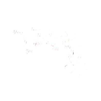 COc1nc(N)nc2c1ncn2[C@@H]1OC(COP2(=O)N[C@H](C(=O)O[C@H](C)c3ccccc3)CCS2)[C@@H](O)[C@@]1(C)O